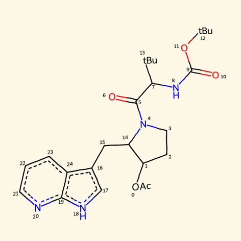 CC(=O)OC1CCN(C(=O)C(NC(=O)OC(C)(C)C)C(C)(C)C)C1Cc1c[nH]c2ncccc12